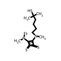 CCN(C)c1c(N(C)CCCCC(C)(C)S)c(=S)c1=S